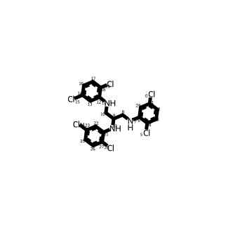 Clc1ccc(Cl)c(NCC(CNc2cc(Cl)ccc2Cl)Nc2cc(Cl)ccc2Cl)c1